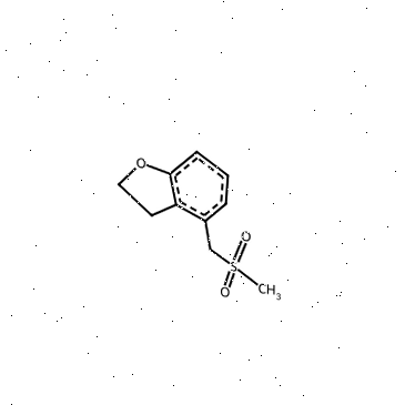 CS(=O)(=O)Cc1cccc2c1CCO2